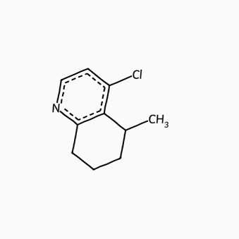 CC1CCCc2nccc(Cl)c21